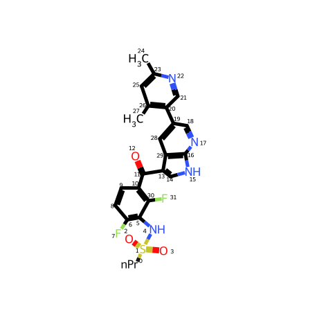 CCCS(=O)(=O)Nc1c(F)ccc(C(=O)c2c[nH]c3ncc(-c4cnc(C)cc4C)cc23)c1F